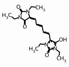 CCN1C(=O)/C(=C\C=CC=Cc2c(O)n(CC)c(=O)n2CC)N(CC)C1=O